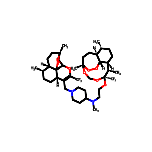 C[C@@H]1CC[C@@H]2[C@@H]3OO[C@@](C)(CC[C@H]31)OCO[C@@](OCCN(C)C1CCN(CC3=C(C(F)(F)F)O[C@@H]4O[C@]5(C)CC[C@H]6[C@H](C)CC[C@@H]3[C@@]46OO5)CC1)(C(F)(F)F)[C@@H]2C